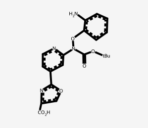 CC(C)(C)OC(=O)N(Oc1ccccc1N)c1cc(-c2nc(C(=O)O)co2)ccn1